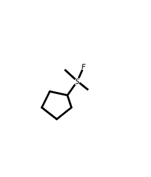 CS(C)(F)C1CCCC1